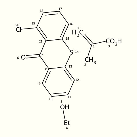 C=C(C)C(=O)O.CCO.O=c1c2ccccc2sc2cccc(Cl)c12